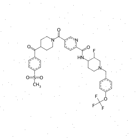 CS(=O)(=O)c1ccc(C(=O)C2CCN(C(=O)c3ccc(C(=O)NC4CCN(Cc5ccc(OC(F)(F)F)cc5)CC4F)nc3)CC2)cc1